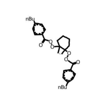 [CH2]C1(OOC(=O)c2ccc(CCCC)cc2)CCCCC1([CH2])OOC(=O)c1ccc(CCCC)cc1